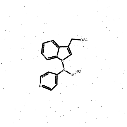 CCCN(c1ccncc1)n1cc(COC(C)=O)c2ccccc21.Cl